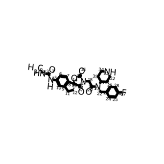 CNC(=O)Nc1ccc2c(c1)CC[C@@]21OC(=O)N(CC(=O)N(Cc2ccc(F)cc2)C2CCNCC2)C1=O